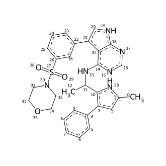 Cc1cc(-c2ccccc2)c(C(C)Nc2ncnc3[nH]cc(-c4cccc(S(=O)(=O)N5CCOCC5)c4)c23)[nH]1